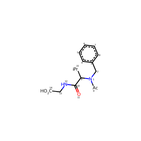 CC(=O)N(Cc1ccccc1)C(C(=O)NCC(=O)O)C(C)C